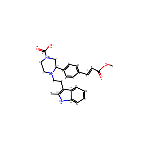 COC(=O)/C=C/c1ccc(C2CN(C(=O)O)CCN2CCc2c(C)[nH]c3ccccc23)cc1